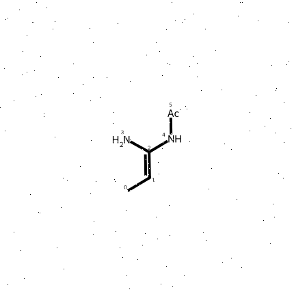 CC=C(N)NC(C)=O